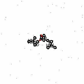 c1ccc(C2=NC(c3cccc4c3sc3cc(-c5cccc6c5Oc5ccccc5C65c6ccccc6-c6cc(-c7ccc8c(c7)oc7cccc(C9N=C(c%10ccccc%10)NC(c%10ccccc%10)N9)c78)ccc65)ccc34)NC(c3ccccc3)=N2)cc1